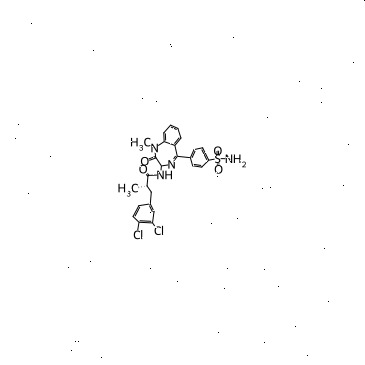 C[C@@H](Cc1ccc(Cl)c(Cl)c1)C(=O)NC1N=C(c2ccc(S(N)(=O)=O)cc2)c2ccccc2N(C)C1=O